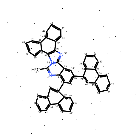 Cc1nc2c(-c3cc4ccccc4c4ccccc34)cc(-c3cc4ccccc4c4ccccc34)cc2c2nc3c4ccccc4c4ccccc4c3n12